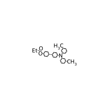 CCC(=O)Oc1ccc(-c2ccc(N(c3cccc(C)c3)c3cccc(C)c3)cc2)cc1